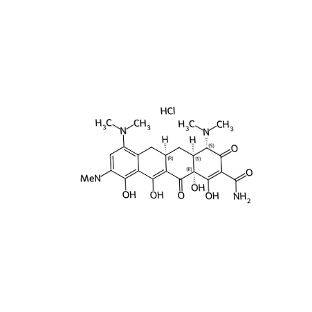 CNc1cc(N(C)C)c2c(c1O)C(O)=C1C(=O)[C@]3(O)C(O)=C(C(N)=O)C(=O)[C@@H](N(C)C)[C@@H]3C[C@@H]1C2.Cl